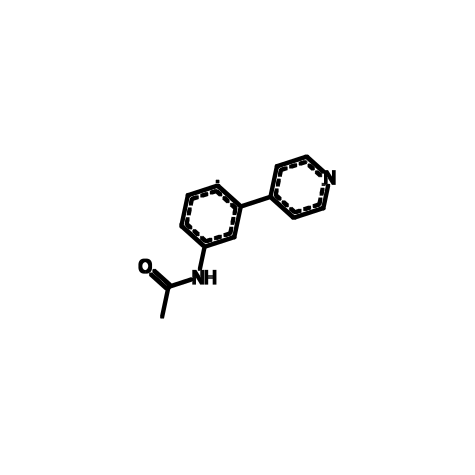 CC(=O)Nc1cc[c]c(-c2ccncc2)c1